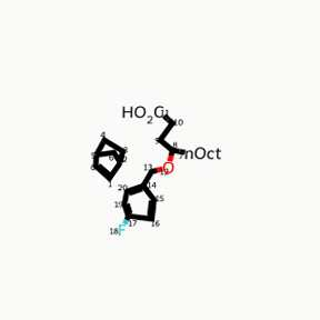 C1=CC2CCC1C2.CCCCCCCCC(CCC(=O)O)OCc1ccc(F)cc1